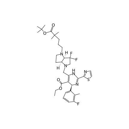 CCOC(=O)C1=C(CN2CC(F)(F)[C@H]3[C@@H]2CCN3CCCC(C)(C)C(=O)OC(C)(C)C)NC(c2nccs2)=N[C@H]1c1cccc(F)c1C